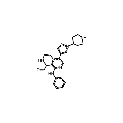 O=CC1NC=Cc2c(-c3cnn(C4CCNCC4)c3)cnc(Nc3ccccc3)c21